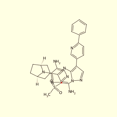 CS(=O)(=O)c1c(C2C[C@H]3CC[C@@H](C2)N3c2ncncc2N)nc2c(-c3ccc(-c4ccccc4)nc3)cnn2c1N